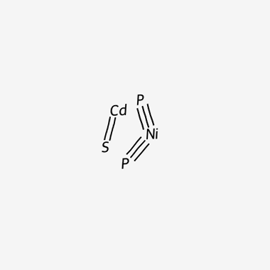 [P]#[Ni]#[P].[S]=[Cd]